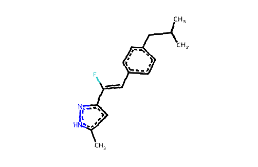 Cc1cc(C(F)=Cc2ccc(CC(C)C)cc2)n[nH]1